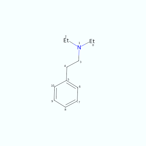 CCN(CC)CCc1c[c]ccc1